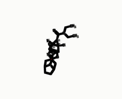 CCN(CC)C(=O)[C@H]1[C@@H]2CN(C3CC4CCC(C3)N4c3nc(C)no3)C[C@@H]21